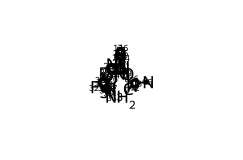 CN1C[C@H](C#N)C[C@H]1COc1nc(N2CC3CCC(C2)N3)c2nccc(Oc3c(F)cc(F)c4sc(N)nc34)c2n1